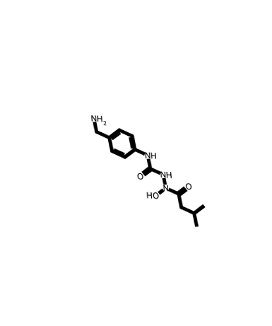 CC(C)CC(=O)N(O)NC(=O)Nc1ccc(CN)cc1